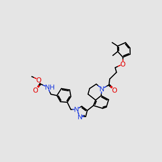 COC(=O)NCc1cccc(Cn2cc(-c3cccc4c3CCCN4C(=O)CCCOc3cccc(C)c3C)cn2)c1